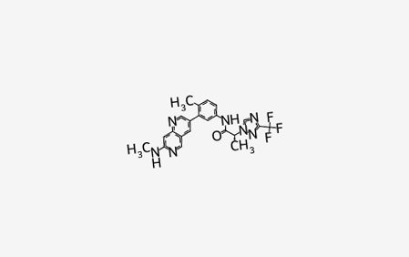 CNc1cc2ncc(-c3cc(NC(=O)[C@H](C)n4cnc(C(F)(F)F)n4)ccc3C)cc2cn1